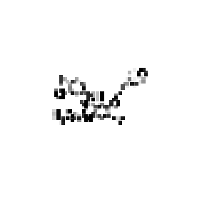 COc1nc(Nc2ccc(F)c(Cl)c2)c2cc(OCCCN3CCOCC3)c(C3CC3)cc2n1